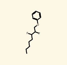 CCCCCC(F)C(F)COc1ccccc1